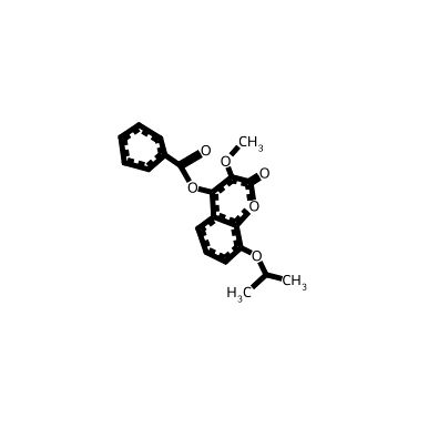 COc1c(OC(=O)c2ccccc2)c2cccc(OC(C)C)c2oc1=O